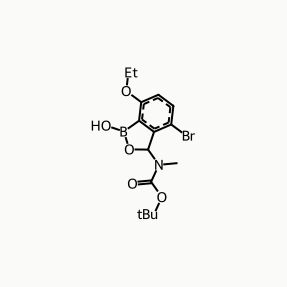 CCOc1ccc(Br)c2c1B(O)OC2N(C)C(=O)OC(C)(C)C